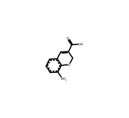 Bc1cccc2c1OCC(C(=O)O)=C2